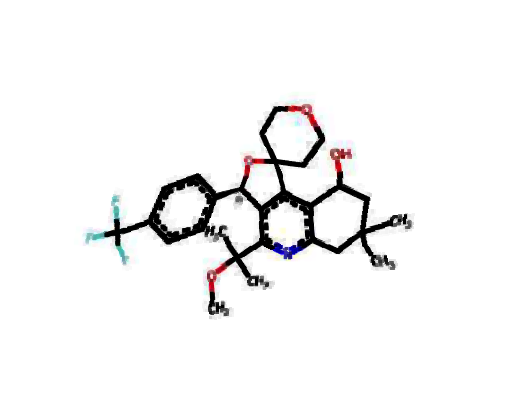 COC(C)(C)c1nc2c(c3c1[C@@H](c1ccc(C(F)(F)F)cc1)OC31CCOCC1)C(O)CC(C)(C)C2